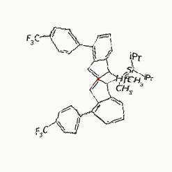 CC(C)[Si](C(C)C)=[Hf]([CH3])([CH3])([CH]1C=Cc2c(-c3ccc(C(F)(F)F)cc3)cccc21)[CH]1C=Cc2c(-c3ccc(C(F)(F)F)cc3)cccc21